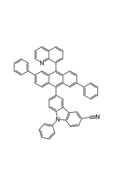 N#Cc1ccc2c(c1)c1cc(-c3c4cc(-c5ccccc5)ccc4c(-c4cccc5cccnc45)c4cc(-c5ccccc5)ccc34)ccc1n2-c1ccccc1